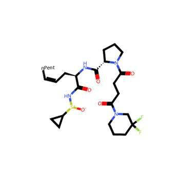 CCCCC/C=C\C[C@@H](NC(=O)[C@@H]1CCCN1C(=O)CCC(=O)N1CCCC(F)(F)C1)C(=O)N[S+]([O-])C1CC1